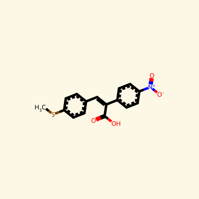 CSc1ccc(C=C(C(=O)O)c2ccc([N+](=O)[O-])cc2)cc1